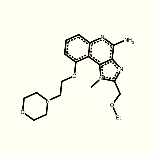 CCOCc1nc2c(N)nc3cccc(OCCN4CCOCC4)c3c2n1C